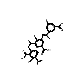 CC(C)c1ccc(CC(C)c2cc(C(=O)O)cc(CC(C)c3cc(F)cc(C(=O)O)c3)c2F)c(C(=O)O)c1F